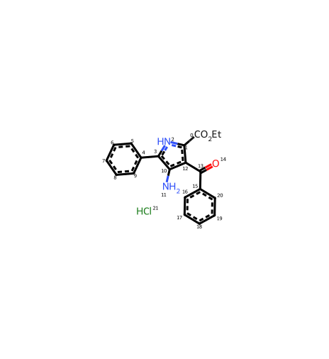 CCOC(=O)c1[nH]c(-c2ccccc2)c(N)c1C(=O)c1ccccc1.Cl